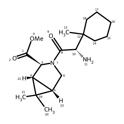 COC(=O)[C@@H]1[C@@H]2[C@H](CN1C(=O)[C@@H](N)C1(C)CCCCC1)C2(C)C